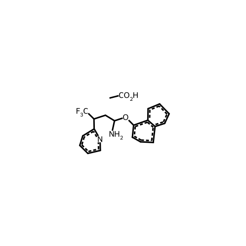 CC(=O)O.NC(CC(c1ccccn1)C(F)(F)F)Oc1cccc2ccccc12